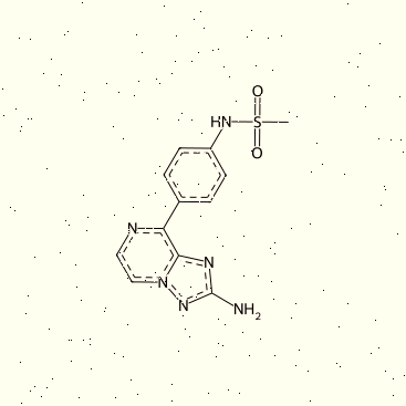 CS(=O)(=O)Nc1ccc(-c2nccn3nc(N)nc23)cc1